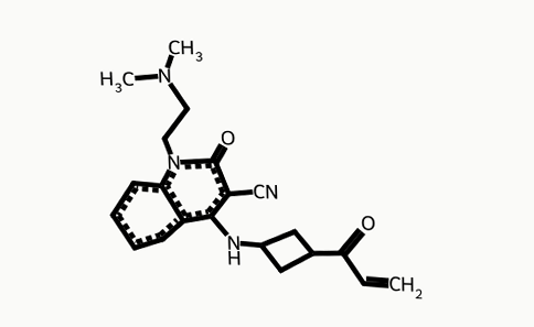 C=CC(=O)C1CC(Nc2c(C#N)c(=O)n(CCN(C)C)c3ccccc23)C1